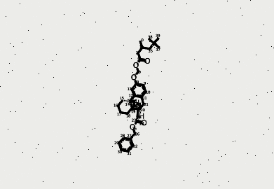 CC(CC(=O)OCOc1ccc2c(c1)[C@]13CCCC[C@@H]1[C@H](C2)N(C(=O)OCc1ccccc1)CC3)CC(C)(C)C